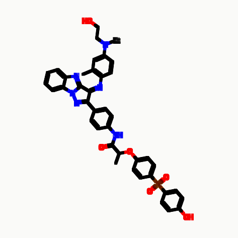 CCN(CCO)c1ccc(/N=C2/C(c3ccc(NC(=O)C(C)Oc4ccc(S(=O)(=O)c5ccc(O)cc5)cc4)cc3)=Nn3c2nc2ccccc23)c(C)c1